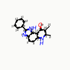 Cc1[nH]c2ccc3nc(-c4ccccc4)[nH]c3c2c(=O)c1C